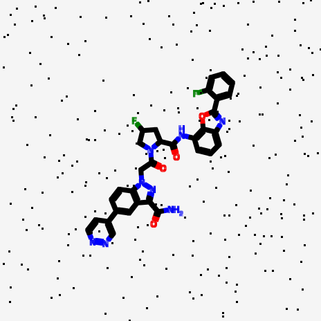 NC(=O)c1nn(CC(=O)N2CC(F)CC2C(=O)Nc2cccc3nc(-c4ccccc4F)oc23)c2ccc(-c3ccnnc3)cc12